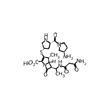 CC(NC(=O)CC(N)=O)[C@H]1C(=O)N2C(C(=O)O)=C(S[C@@H]3CN[C@H](C(=O)N4CC[C@@H](N)C4)C3)[C@H](C)[C@H]12